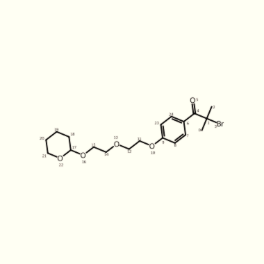 CC(C)(Br)C(=O)c1ccc(OCCOCCOC2CCCCO2)cc1